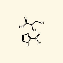 NC(CS)C(=O)O.O=[N+]([O-])c1ncc[nH]1